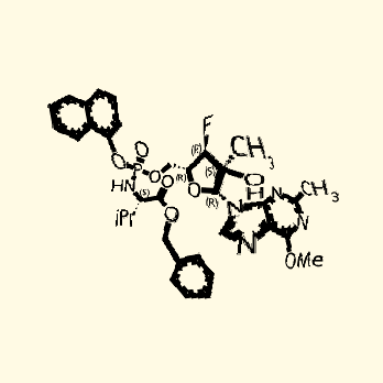 COc1nc(C)nc2c1ncn2[C@@H]1O[C@H](COP(=O)(N[C@H](C(=O)OCc2ccccc2)C(C)C)Oc2cccc3ccccc23)[C@@H](F)[C@@]1(C)O